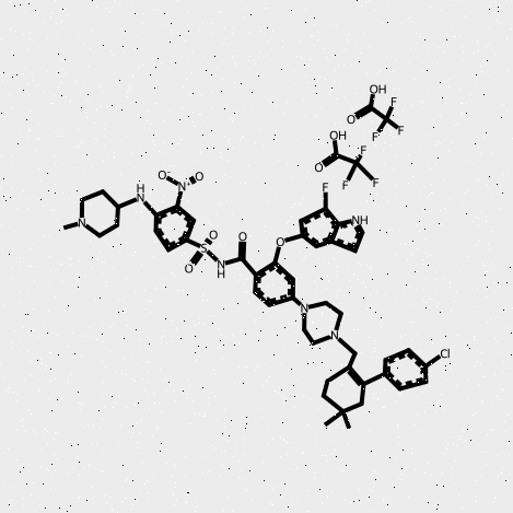 CN1CCC(Nc2ccc(S(=O)(=O)NC(=O)c3ccc(N4CCN(CC5=C(c6ccc(Cl)cc6)CC(C)(C)CC5)CC4)cc3Oc3cc(F)c4[nH]ccc4c3)cc2[N+](=O)[O-])CC1.O=C(O)C(F)(F)F.O=C(O)C(F)(F)F